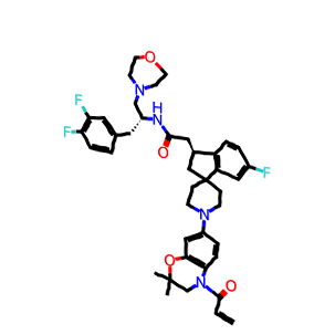 C=CC(=O)N1CC(C)(C)Oc2cc(N3CCC4(CC3)C[C@@H](CC(=O)N[C@H](Cc3ccc(F)c(F)c3)CN3CCOCC3)c3ccc(F)cc34)ccc21